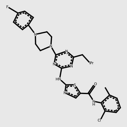 Cc1cccc(Cl)c1NC(=O)c1cnc(Nc2nc(CC(C)C)nc(N3CCN(c4ccc(F)cc4)CC3)n2)s1